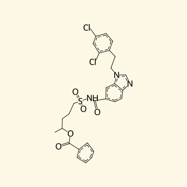 CC(CCCS(=O)(=O)NC(=O)c1ccc2ncn(CCc3ccc(Cl)cc3Cl)c2c1)OC(=O)c1ccccc1